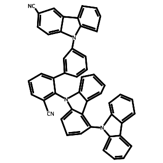 N#Cc1ccc2c(c1)c1ccccc1n2-c1cccc(-c2cccc(C#N)c2-n2c3ccccc3c3c(-n4c5ccccc5c5ccccc54)cccc32)c1